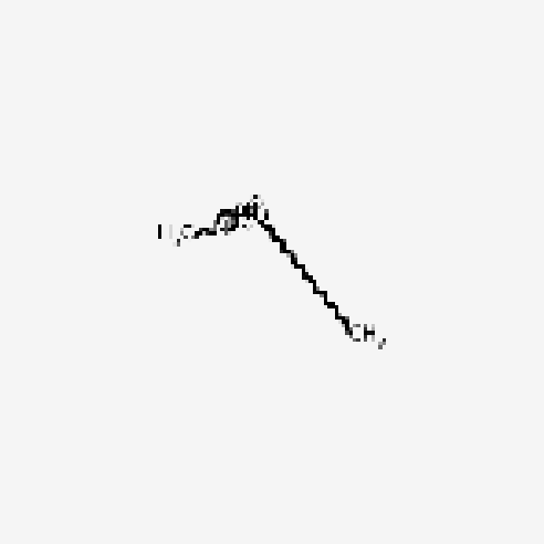 CCCCCCCCCCCCCCCCCCOP(=O)(O)OC1CCN(CCCC)CC1